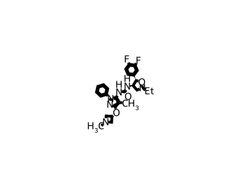 CCN1C[C@@H](NC(=O)Nc2c(C)c(OC3CN(C)C3)nn2-c2ccccc2)[C@H](c2ccc(F)c(F)c2)O1